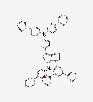 c1ccc(-c2ccc(N(c3ccc(-c4ccccc4)cc3)c3ccc(-c4ccc(N(c5ccc(-c6ccccc6)cc5)c5c(-c6ccccc6)cc(-c6ccccc6)cc5-c5ccccc5)cc4)cc3)cc2)cc1